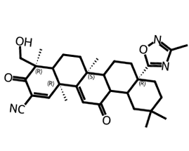 Cc1noc([C@@]23CCC4C(C(=O)C=C5[C@@]6(C)C=C(C#N)C(=O)[C@@](C)(CO)C6CC[C@]54C)C2CC(C)(C)CC3)n1